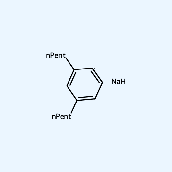 CCCCCc1[c]ccc(CCCCC)c1.[NaH]